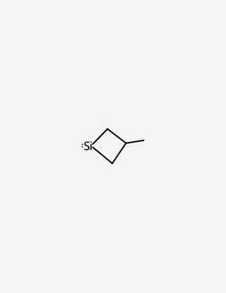 CC1C[Si]C1